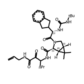 C=CCNC(=O)C(=O)C(CCC)NC(=O)[C@@H]1[C@@H]2[C@H](CN1C(=O)[C@@H](NC(=O)NC(C)(C)C)C1Cc3ccccc3C1)C2(C)C